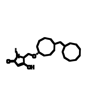 O=C1C=C(O)C(CO[C@@H]2CCCCC(CC3CCCCCCCC3)CCC2)N1I